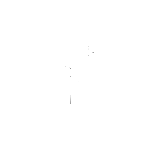 CC1CCCCN1C(=O)C1=CSC(C(=O)O)N1C1CCS(=O)(=O)CC1